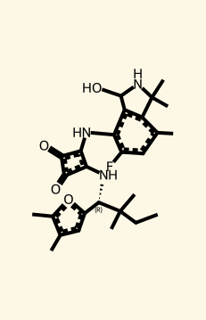 CCC(C)(C)[C@@H](Nc1c(Nc2c(F)cc(C)c3c2C(O)NC3(C)C)c(=O)c1=O)c1cc(C)c(C)o1